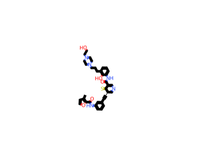 Cc1ccoc1C(=O)Nc1cccc(C#C[C@H]2C=NC=C(C(=O)Nc3cccc(CCCN4CCN(CCO)CC4)c3O)C2=S)c1